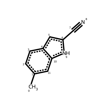 Cc1c[c]c2cc(C#N)[nH]c2c1